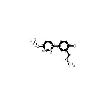 COCc1cc(-c2ccc(OC)nn2)ccc1Cl